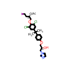 CC(=O)O[C@H](CCI)COc1c(Cl)cc(C(C)(C)c2ccc(OC[C@H](O)Cn3ccnc3)cc2)cc1Cl